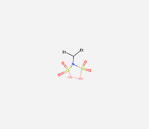 CCC(CC)N1S(=O)(=O)BBS1(=O)=O